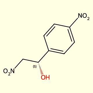 O=[N+]([O-])C[C@@H](O)c1ccc([N+](=O)[O-])cc1